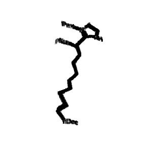 CCCCCCCCCCCCCCCCCCC(CCCCCCCCC)c1[nH]cc[n+]1C(C)CCC